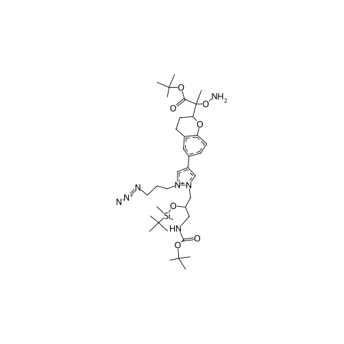 CC(C)(C)OC(=O)NCC(Cn1cc(-c2ccc3c(c2)CCC(C(C)(ON)C(=O)OC(C)(C)C)O3)c[n+]1CCCN=[N+]=[N-])O[Si](C)(C)C(C)(C)C